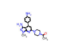 CC(=O)N1CCN(c2cc(-c3ccc(N)cc3)c3c(N)nn(C)c3n2)CC1